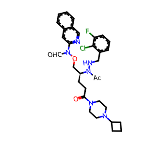 CC(=O)N(NCc1cccc(F)c1Cl)[C@@H](CCC(=O)N1CCN(C2CCC2)CC1)CON(C=O)c1cc2ccccc2cn1